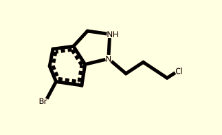 ClCCCN1NCc2ccc(Br)cc21